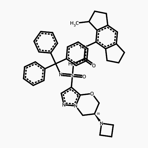 CC1CCc2cc3c(c(NC(=O)NS(=O)(=NC(c4ccccc4)(c4ccccc4)c4ccccc4)c4cnn5c4OC[C@@H](N4CCC4)C5)c21)CCC3